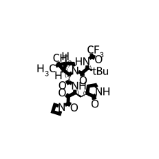 CC(C)(C)[C@H](NC(=O)C(F)(F)F)C(=O)N1C[C@H]2[C@@H]([C@H]1C(=O)N[C@@H](C[C@@H]1CCNC1=O)C(=O)C(=O)N1CCC1)C2(C)C